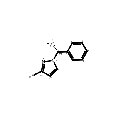 C[C@H](c1ccccc1)n1ccc(F)n1